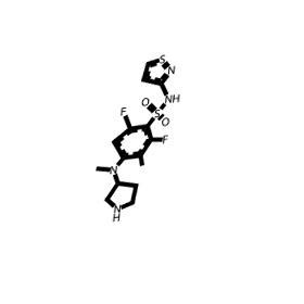 Cc1c(N(C)C2CCNC2)cc(F)c(S(=O)(=O)Nc2ccsn2)c1F